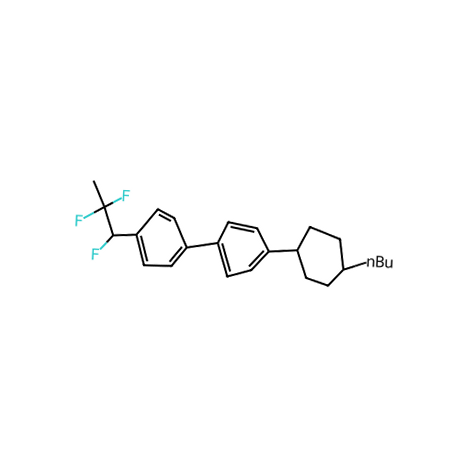 CCCCC1CCC(c2ccc(-c3ccc(C(F)C(C)(F)F)cc3)cc2)CC1